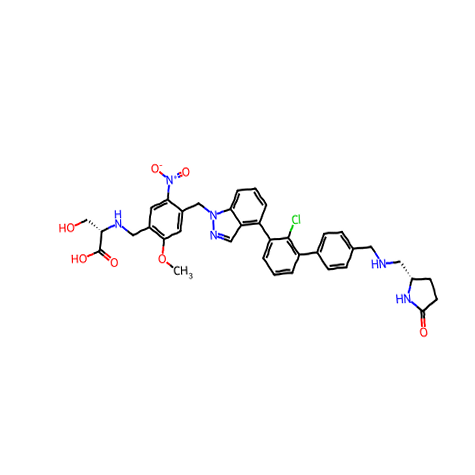 COc1cc(Cn2ncc3c(-c4cccc(-c5ccc(CNC[C@@H]6CCC(=O)N6)cc5)c4Cl)cccc32)c([N+](=O)[O-])cc1CN[C@@H](CO)C(=O)O